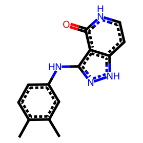 Cc1ccc(Nc2n[nH]c3cc[nH]c(=O)c23)cc1C